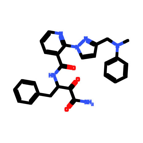 CN(Cc1ccn(-c2ncccc2C(=O)NC(Cc2ccccc2)C(=O)C(N)=O)n1)c1ccccc1